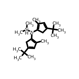 CC1=[C]([Zr]([C]2=C(C)C=C(C(C)(C)C)C2)[SiH](C)C)CC(C(C)(C)C)=C1